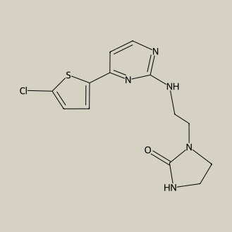 O=C1NCCN1CCNc1nccc(-c2ccc(Cl)s2)n1